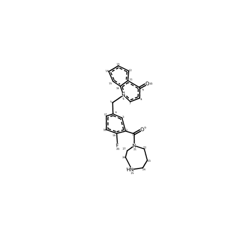 O=C(c1cc(Cn2ccc(=O)c3ccccc32)ccc1F)N1CCCNCC1